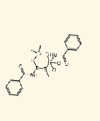 [CH3][Ti]1[Ti]([NH]C(=O)c2ccccc2)[Ti][Ti]([CH3])([CH3])[Ti][Ti]1([Cl])([Cl])[NH]C(=O)c1ccccc1